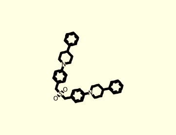 O=S(=O)(Cc1ccc(N2CCC(c3ccccc3)CC2)cc1)Cc1ccc(N2CCC(c3ccccc3)CC2)cc1